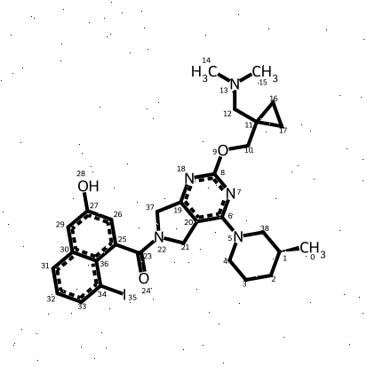 C[C@H]1CCCN(c2nc(OCC3(CN(C)C)CC3)nc3c2CN(C(=O)c2cc(O)cc4cccc(I)c24)C3)C1